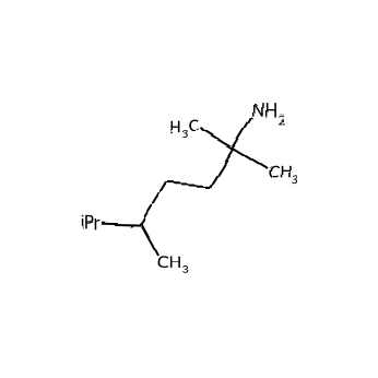 CC(C)C(C)CCC(C)(C)N